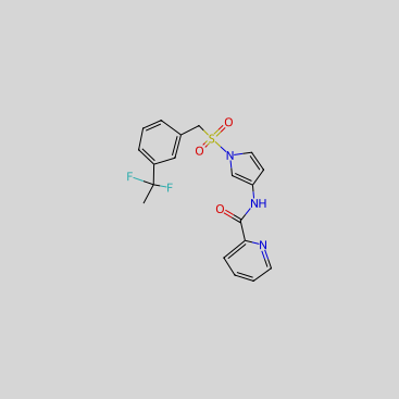 CC(F)(F)c1cccc(CS(=O)(=O)n2ccc(NC(=O)c3ccccn3)c2)c1